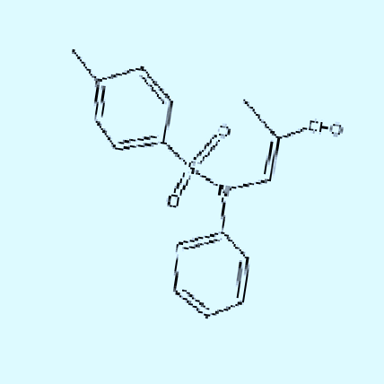 C/C(C=O)=C\N(c1ccccc1)S(=O)(=O)c1ccc(C)cc1